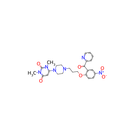 Cn1c(N2CCN(CCCOc3ccc([N+](=O)[O-])cc3C(=O)c3ccccn3)CC2)cc(=O)n(C)c1=O